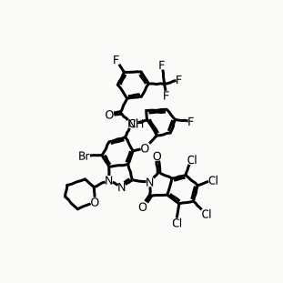 O=C(Nc1cc(Br)c2c(c(N3C(=O)c4c(Cl)c(Cl)c(Cl)c(Cl)c4C3=O)nn2C2CCCCO2)c1Oc1cc(F)ccc1Cl)c1cc(F)cc(C(F)(F)F)c1